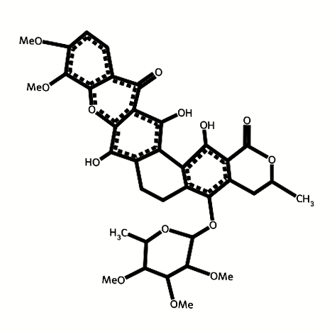 COc1ccc2c(=O)c3c(O)c4c(c(O)c3oc2c1OC)CCc1c(OC2OC(C)C(OC)C(OC)C2OC)c2c(c(O)c1-4)C(=O)OC(C)C2